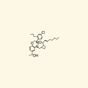 CCCCC/C=C/C(O)C1CCC1CN1CC(c2ccc(Cl)cc2CCC)COc2ccc(C(C)O)cc21